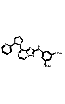 COc1cc(Nc2nc3c(N4CCCC4c4ccccn4)nccn3n2)cc(OC)c1